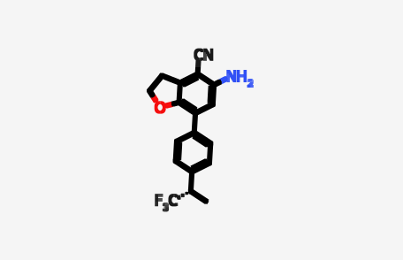 C[C@@H](c1ccc(-c2cc(N)c(C#N)c3c2OCC3)cc1)C(F)(F)F